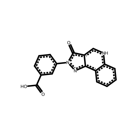 O=C(O)c1cccc(-n2nc3c4ccccc4[nH]cc-3c2=O)c1